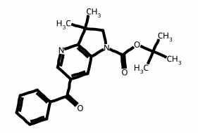 CC(C)(C)OC(=O)N1CC(C)(C)c2ncc(C(=O)c3ccccc3)cc21